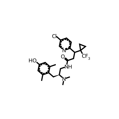 Cc1cc(O)cc(C)c1C[C@@H](CNC(=O)CC(c1ccc(Cl)cn1)C1(C(F)(F)F)CC1)N(C)C